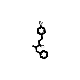 CC([CH]c1ccccc1)C(=O)CCc1ccc(Br)cc1